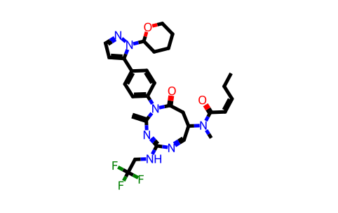 C=C1/N=C(NCC(F)(F)F)\N=C/C(N(C)C(=O)/C=C\CC)CC(=O)N1c1ccc(-c2ccnn2C2CCCCO2)cc1